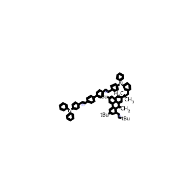 C=c1c2cc(C(C)(C)Cc3cccc(N(c4ccccc4)c4ccc(/C=C/c5ccc(-c6ccc(/C=C/c7ccc(N(c8ccccc8)c8ccccc8)cc7)cc6)cc5)cc4)c3)cc3cc(C(C)(C)C)cc(c4cc(C(C)(C)C)cc(/C=C/C(C)(C)C)c14)c32